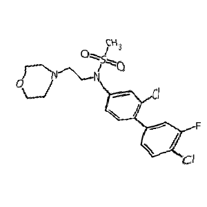 CS(=O)(=O)N(CCN1CCOCC1)c1ccc(-c2ccc(Cl)c(F)c2)c(Cl)c1